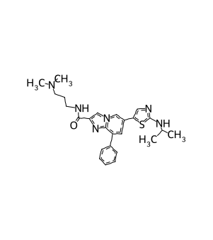 CC(C)Nc1ncc(-c2cc(-c3ccccc3)c3nc(C(=O)NCCCN(C)C)cn3c2)s1